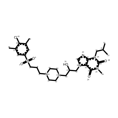 Cc1cc(S(=O)(=O)CCCN2CCN(CC(O)Cn3cnc4c3c(=O)n(C)c(=O)n4CC(C)C)CC2)cc(C)c1Cl